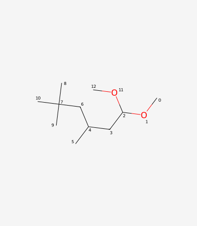 COC(CC(C)CC(C)(C)C)OC